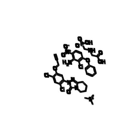 C#CCOc1cc(-n2nc3n(c2=O)CCCC3)c(Cl)cc1Cl.C[S+](C)C.Nc1c([N+](=O)[O-])ccc(Oc2ccccc2)c1Cl.O=C(O)CNCP(=O)([O-])O